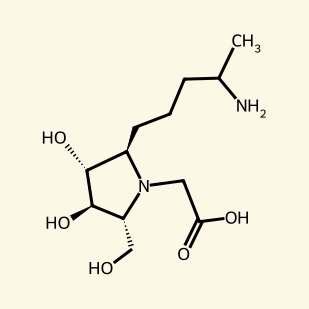 CC(N)CCC[C@@H]1[C@@H](O)[C@H](O)[C@@H](CO)N1CC(=O)O